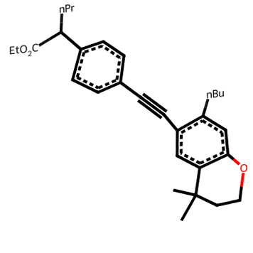 CCCCc1cc2c(cc1C#Cc1ccc(C(CCC)C(=O)OCC)cc1)C(C)(C)CCO2